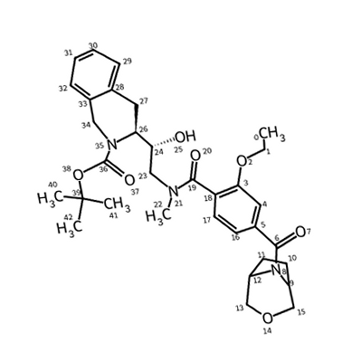 CCOc1cc(C(=O)N2C3CCC2COC3)ccc1C(=O)N(C)C[C@@H](O)[C@@H]1Cc2ccccc2CN1C(=O)OC(C)(C)C